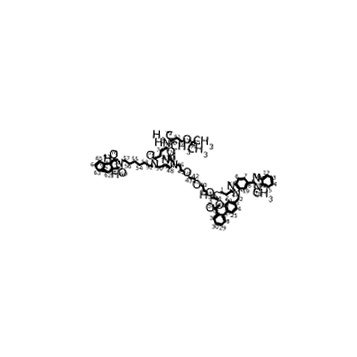 CCCc1nc2ccc(-c3nc4ccccc4n3C)cc2n1Cc1ccc(-c2ccccc2C(=O)OCCOCCOCCOCCn2cc(CN(CCCCCCN3C(=O)[C@@H]4C5C6C=CC(C65)[C@@H]4C3=O)C(=O)CCC(=O)NC(C)(C)CCOC(C)C)nn2)cc1